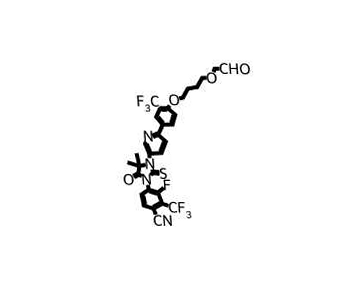 CC1(C)C(=O)N(c2ccc(C#N)c(C(F)(F)F)c2F)C(=S)N1c1ccc(-c2ccc(OCCCCOCC=O)c(C(F)(F)F)c2)nc1